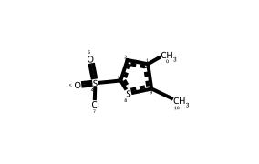 Cc1cc(S(=O)(=O)Cl)sc1C